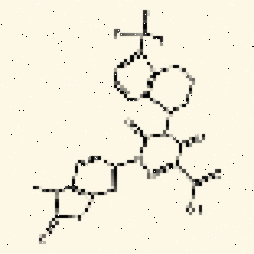 Cn1c(=O)oc2cc(-n3nc(C(=O)O)c(=O)n(C4CCCc5c4cccc5C(F)(F)F)c3=O)ccc21